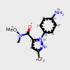 CON(C)C(=O)c1cc(C(F)(F)F)nn1-c1ccc(N)cc1